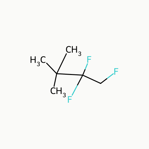 CC(C)(C)C(F)(F)CF